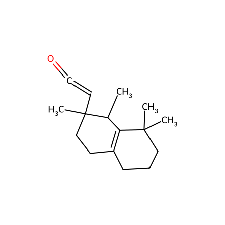 CC1C2=C(CCCC2(C)C)CCC1(C)C=C=O